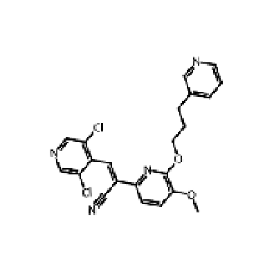 COc1ccc(C(C#N)=Cc2c(Cl)cncc2Cl)nc1OCCCc1cccnc1